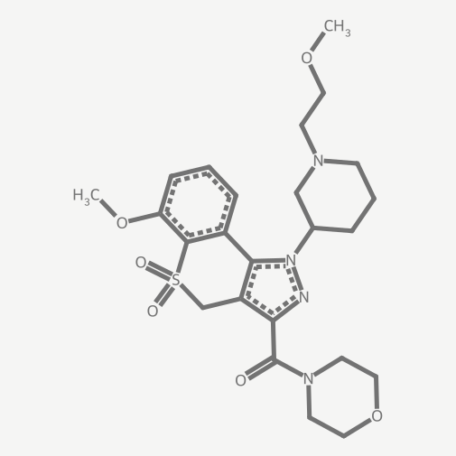 COCCN1CCCC(n2nc(C(=O)N3CCOCC3)c3c2-c2cccc(OC)c2S(=O)(=O)C3)C1